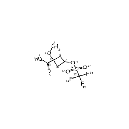 COC1(C(=O)O)CC(OS(=O)(=O)C(F)(F)F)C1